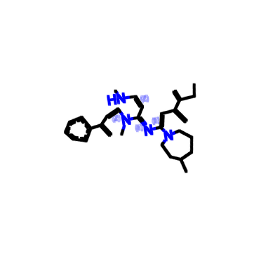 C=C(/C=C(/N=C(\C=C/NC)N(C)/C=C\C(=C)c1ccccc1)N1CCCC(C)CC1)C(=C)CC